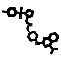 Cc1ccc(S(=O)(=O)n2cccc2CNC[C@H]2CC[C@@H](Nc3nc(N(C)C)c4ccccc4n3)CC2)cc1